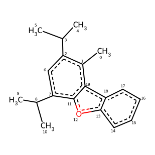 Cc1c(C(C)C)cc(C(C)C)c2oc3ccccc3c12